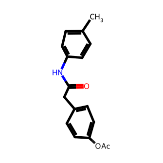 CC(=O)Oc1ccc(CC(=O)Nc2ccc(C)cc2)cc1